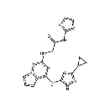 O=C(CNc1nc(Nc2cc(C3CC3)n[nH]2)c2cccn2n1)Nc1nccs1